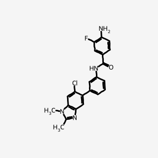 Cc1nc2cc(-c3cccc(NC(=O)c4ccc(N)c(F)c4)c3)c(Cl)cc2n1C